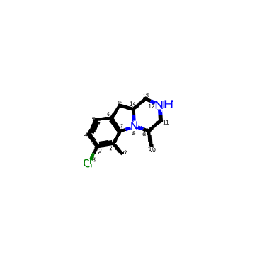 Cc1c(Cl)ccc2c1N1C(C)CNCC1C2